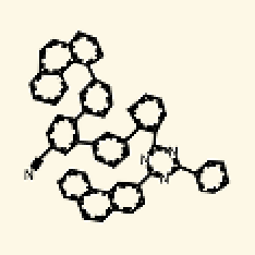 N#Cc1ccc(-c2cccc(-c3cccc4ccc5ccccc5c34)c2)c(-c2cccc(-c3ccccc3-c3nc(-c4ccccc4)nc(-c4ccc5ccc6ccccc6c5c4)n3)c2)c1